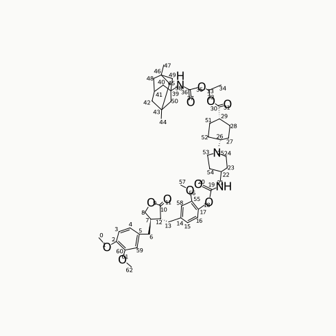 COc1ccc(C[C@H]2COC(=O)[C@@H]2Cc2ccc(OC(=O)NC3CCN([C@H]4CC[C@@H](C(=O)OC(C)OC(=O)NC56CC7CC(C)(CC(C)(C7)C5)C6)CC4)CC3)c(OC)c2)cc1OC